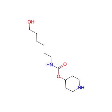 O=C(NCCCCCCO)OC1CCNCC1